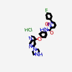 Cl.O=C(Nc1ccc(Oc2ccnc3cnc(N4CCNCC4)cc23)cc1)c1cccc(-c2ccc(F)cc2)[n+]1[O-]